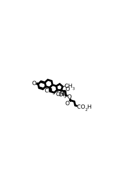 C[C@H]1CC2C3CCC4=CC(=O)C=C[C@]4(C)C3=CC[C@]2(C)[C@@]1(O)C(=O)COC(=O)CCC(=O)O